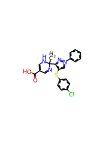 CC1(c2nn(-c3ccccc3)cc2Sc2ccc(Cl)cc2)N=CC(C(=O)O)=CN1